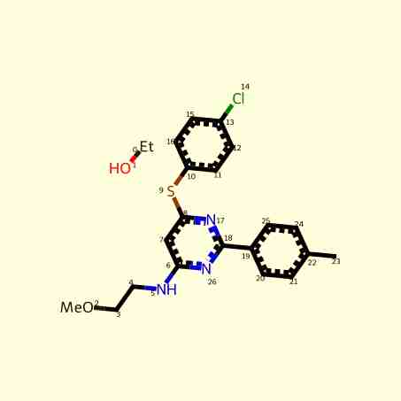 CCO.COCCNc1cc(Sc2ccc(Cl)cc2)nc(-c2ccc(C)cc2)n1